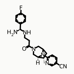 C[C@H]1CC2CN(C(=O)CCN[C@@H](N)c3ccc(F)cc3)C[C@H]1N2c1ccc(C#N)cn1